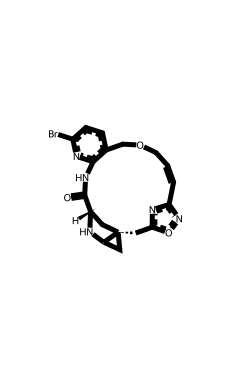 O=C1Nc2nc(Br)ccc2COCC=Cc2noc(n2)C[C@]23CC2N[C@H]1C3